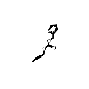 O=C(OCC#CI)OCc1cccs1